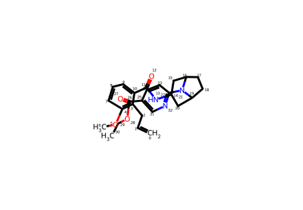 C=CCc1c(OC)cccc1C(=O)NC1CC2CCC(C1)N2c1ccc(C(=O)OCC)cn1